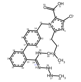 CCCCc1nc(Cl)c(C(=O)O)n1Cc1ccc(-c2ccccc2/C(=N/NNC)NC)cc1